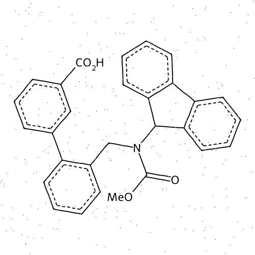 COC(=O)N(Cc1ccccc1-c1cccc(C(=O)O)c1)C1c2ccccc2-c2ccccc21